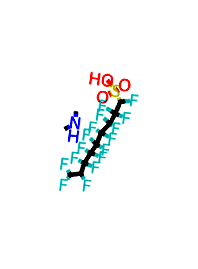 CNC.O=S(=O)(O)C(F)C(F)(F)C(F)(F)C(F)(F)C(F)(F)C(F)(F)C(F)(F)C(F)C(F)F